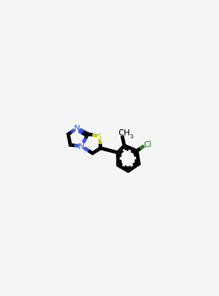 Cc1c(Cl)cccc1C1CN2CCN=C2S1